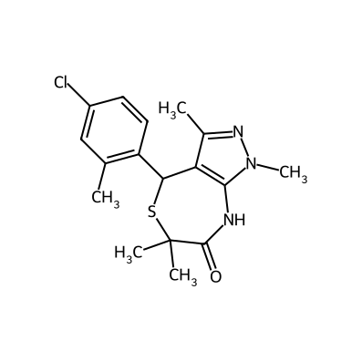 Cc1cc(Cl)ccc1C1SC(C)(C)C(=O)Nc2c1c(C)nn2C